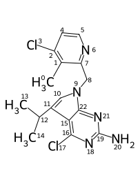 Cc1c(Cl)ccnc1Cn1cc(C(C)C)c2c(Cl)nc(N)nc21